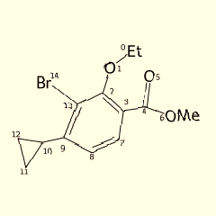 CCOc1c(C(=O)OC)ccc(C2CC2)c1Br